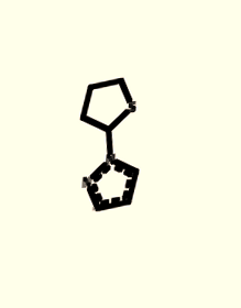 [c]1ccn(C2CCCS2)n1